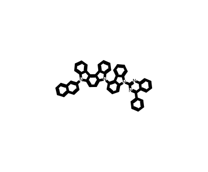 c1ccc(-c2nc(-n3c4ccccc4c4c(-n5c6ccccc6c6c7c8ccccc8n(-c8ccc9ccccc9c8)c7ccc65)cccc43)nc3ccccc23)cc1